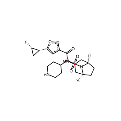 O=C(NC1C[C@H]2CC[C@@H](C1)N2S(=O)(=O)CC1CCNCC1)c1cc([C@@H]2C[C@@H]2F)on1